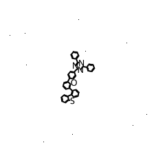 c1ccc(-c2nc(-c3ccccc3)nc(-c3ccc4c(c3)oc3c(-c5cccc6sc7ccccc7c56)cccc34)n2)cc1